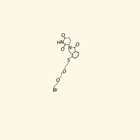 O=C1CCC(N2Cc3c(SCCOCCOCCBr)cccc3C2=O)C(=O)N1